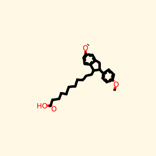 COc1ccc(C2Cc3cc(OC)ccc3C2CCCCCCCCCCC(=O)O)cc1